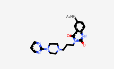 CC(=O)Nc1ccc2[nH]c(=O)n(CCCN3CCN(c4ncccn4)CC3)c(=O)c2c1